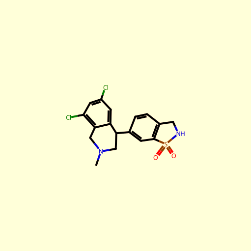 CN1Cc2c(Cl)cc(Cl)cc2C(c2ccc3c(c2)S(=O)(=O)NC3)C1